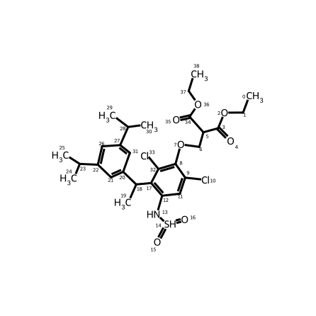 CCOC(=O)C(COc1c(Cl)cc(N[SH](=O)=O)c(C(C)c2cc(C(C)C)cc(C(C)C)c2)c1Cl)C(=O)OCC